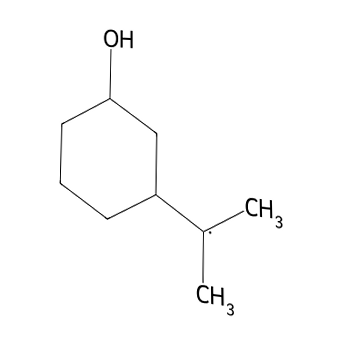 C[C](C)C1CCCC(O)C1